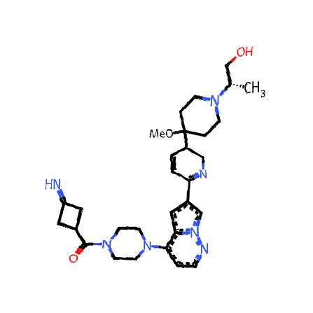 COC1(C2C=CC(c3cc4c(N5CCN(C(=O)C6CC(=N)C6)CC5)ccnn4c3)=NC2)CCN([C@@H](C)CO)CC1